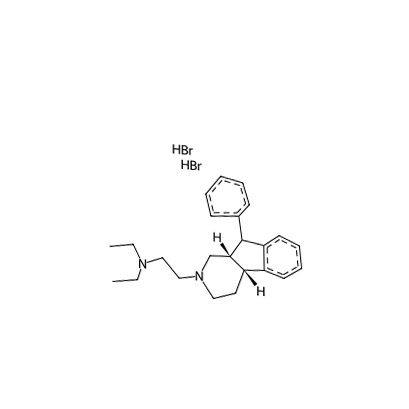 Br.Br.CCN(CC)CCN1CC[C@H]2c3ccccc3C(c3ccccc3)[C@H]2C1